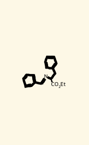 CCOC(=O)[C@H](Cc1ccccc1)/N=C/c1ccccc1